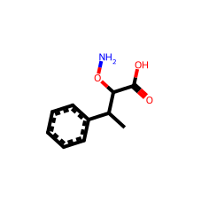 CC(c1ccccc1)C(ON)C(=O)O